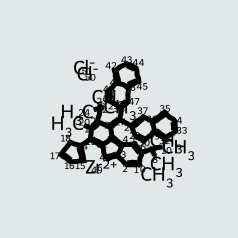 Cc1cc2c(cc1C(C)(C)C)=c1c(c(C3=CC=CC3)c(C)c(C(C)(C)C)c1=C(c1ccc3ccccc3c1)c1ccc3ccccc3c1)[C]=2[Zr+2].[Cl-].[Cl-]